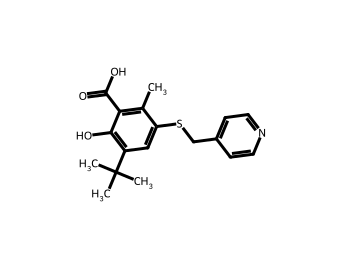 Cc1c(SCc2ccncc2)cc(C(C)(C)C)c(O)c1C(=O)O